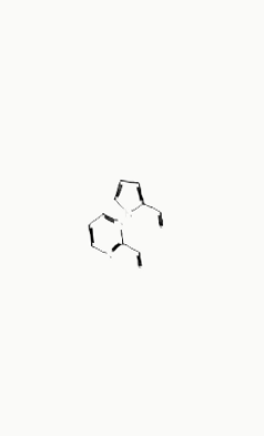 O=Cc1ccc[nH]1.O=Cc1ncccn1